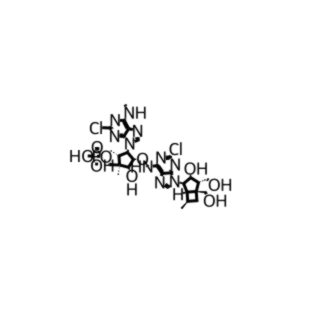 CNc1nc(Cl)nc2c1ncn2[C@H]1[C@H](ONc2nc(Cl)nc3c2ncn3[C@H]2[C@H](O)[C@H](CO)[C@]3(CO)C[C@@H](C)[C@H]23)[C@H](O)[C@@](C)(COP(=O)(O)O)[C@@H]1C